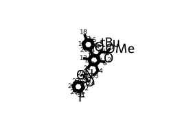 COC(=O)[C@@H](OC(C)(C)C)c1c(C)c2c(c(C)c1-c1ccc(C)cc1)CN(S(=O)(=O)c1cccc(F)c1)CC2